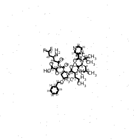 CC[C@H](C)[C@H](NC(=O)[C@H](CC(C)C)N(C(=O)c1cnccn1)C(C)(C)C)C(=O)N1C[C@H](OCc2ccccc2)C[C@H]1C(=O)N(C(=O)C[C@H](N)CC(F)F)C(=O)C(=O)O